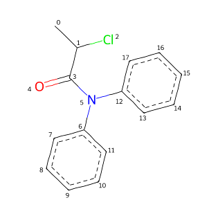 CC(Cl)C(=O)N(c1ccccc1)c1ccccc1